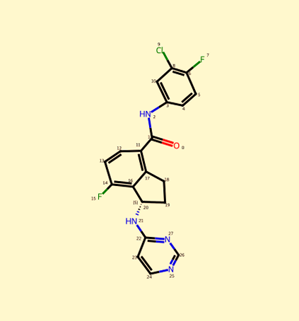 O=C(Nc1ccc(F)c(Cl)c1)c1ccc(F)c2c1CC[C@@H]2Nc1ccncn1